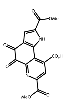 COC(=O)c1cc(C(=O)O)c2c(n1)C(=O)C(=O)c1cc(C(=O)OC)[nH]c1-2